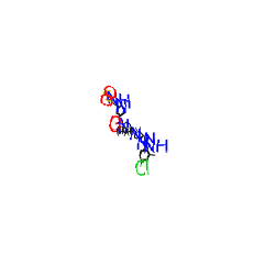 Cc1cc(Cl)ccc1Nc1ncc2c(n1)CN([C@@H]1CCN(C(=O)c3ccnc(CNS(C)(=O)=O)c3)[C@H](C)C1)C2